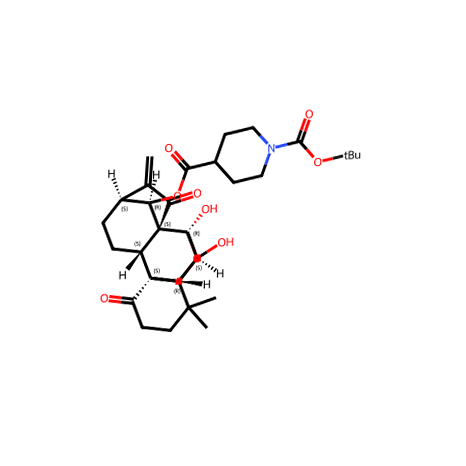 C=C1C(=O)[C@]23[C@H](OC(=O)C4CCN(C(=O)OC(C)(C)C)CC4)[C@H]1CC[C@H]2[C@@]12CO[C@@]3(O)[C@@H](O)[C@@H]1C(C)(C)CCC2=O